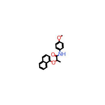 COc1ccc(NC(=O)C(C)Oc2cccc3ccccc23)cc1